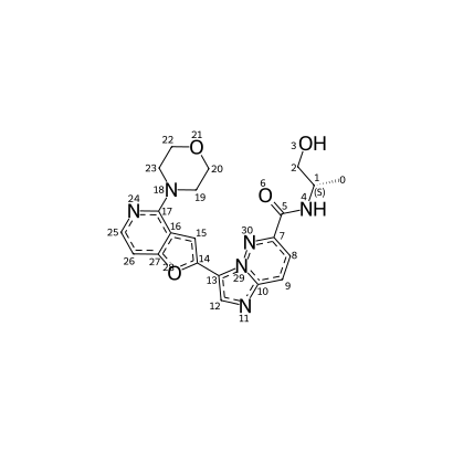 C[C@@H](CO)NC(=O)c1ccc2ncc(-c3cc4c(N5CCOCC5)nccc4o3)n2n1